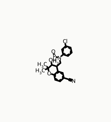 CC1(C)Oc2ccc(C#N)cc2C(CN([PH2]=O)c2cccc(Cl)c2)C1O